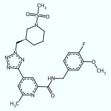 COc1cc(CNC(=O)c2cc(-c3nnn(C[C@@H]4CCCN(S(C)(=O)=O)C4)n3)cc(C)n2)ccc1F